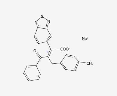 Cc1ccc(C/C(C(=O)c2ccccc2)=C(\C(=O)[O-])c2ccc3nsnc3c2)cc1.[Na+]